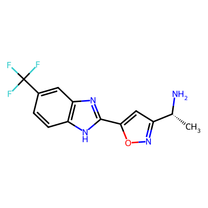 C[C@@H](N)c1cc(-c2nc3cc(C(F)(F)F)ccc3[nH]2)on1